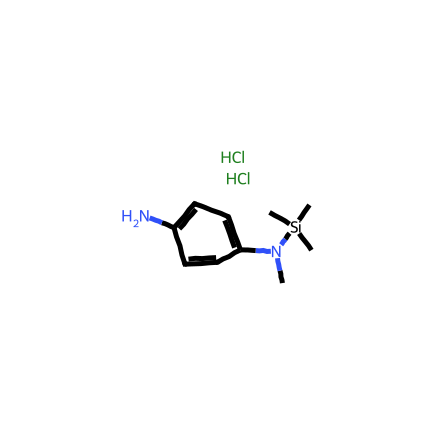 CN(c1ccc(N)cc1)[Si](C)(C)C.Cl.Cl